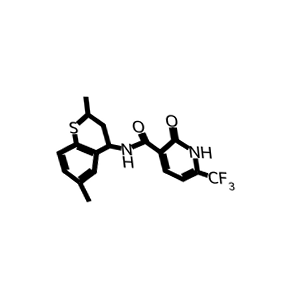 Cc1ccc2c(c1)C(NC(=O)c1ccc(C(F)(F)F)[nH]c1=O)CC(C)S2